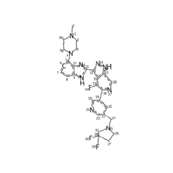 CN1CCN(c2cccc3[nH]c(-c4n[nH]c5cnc(-c6cncc(CN7CCC(F)(F)C7)c6)c(F)c45)nc23)CC1